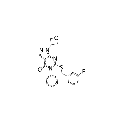 O=c1c2cnn(C3COC3)c2nc(SCc2cccc(F)c2)n1-c1ccccc1